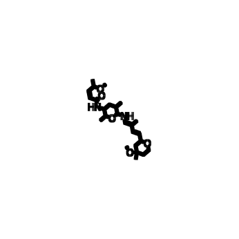 COC(C)/C=C\C(=O)NC1CC(C)C(N/C=C(C)/C=C/C2CC(C)(OC)CCO2)OC1C